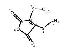 CSC1=C(SC)C(=O)OC1=O